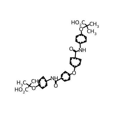 CC(C)(Oc1ccc(NC(=O)c2ccc(Oc3ccc(C(=O)Nc4ccc(OC(C)(C)C(=O)O)cc4)cc3)cc2)cc1)C(=O)O